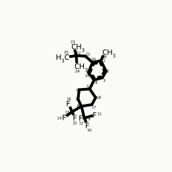 Cc1ccc(C2CCC(C(F)(F)F)(C(F)(F)F)CC2)cc1CC(C)(C)C